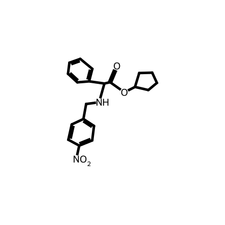 O=C(OC1CCCC1)C(NCc1ccc([N+](=O)[O-])cc1)c1ccccc1